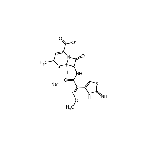 CO/N=C(/C(=O)NC1C(=O)N2C(C(=O)[O-])=CC(C)S[C@H]12)c1csc(=N)[nH]1.[Na+]